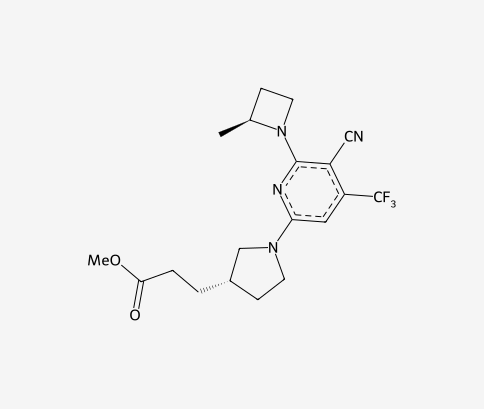 COC(=O)CC[C@H]1CCN(c2cc(C(F)(F)F)c(C#N)c(N3CC[C@@H]3C)n2)C1